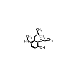 CCOc1c(O)ccc(NC)c1CN(C)C